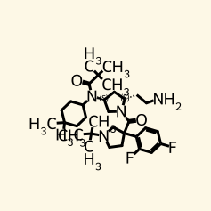 CC1(C)CCC(N(C(=O)C(C)(C)C)[C@H]2C[C@H](CCN)N(C(=O)C3(c4ccc(F)cc4F)CCN(C(C)(C)C)C3)C2)CC1